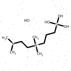 CN(C)CC[N+](C)(C)CCC[Si](O)(O)O.Cl